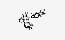 C[C@@H](C(=O)Nc1nc2cc3c(cc2s1)OC(F)(F)O3)N1CCCC(c2ccc(=O)[nH]c2)C1